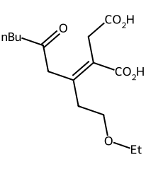 CCCCC(=O)CC(CCOCC)=C(CC(=O)O)C(=O)O